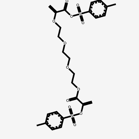 C=C(OS(=O)(=O)c1ccc(C)cc1)C(=O)OCCOCCOCCOC(=C)C(=O)OS(=O)(=O)c1ccc(C)cc1